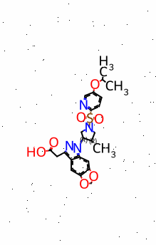 CC(C)Oc1ccc(S(=O)(=O)N2C[C@@H](C)[C@@H](n3nc(CC(=O)O)c4cc5c(cc43)OCO5)C2)nc1